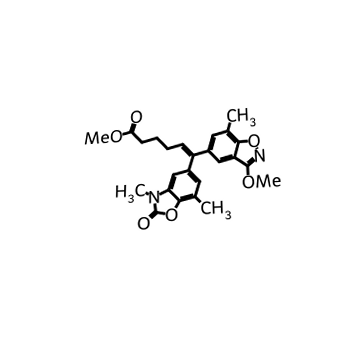 COC(=O)CCC/C=C(/c1cc(C)c2onc(OC)c2c1)c1cc(C)c2oc(=O)n(C)c2c1